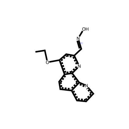 CCOc1cc(/C=N/O)nc2c1ccc1cccnc12